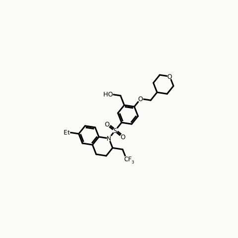 CCc1ccc2c(c1)CCC(CC(F)(F)F)N2S(=O)(=O)c1ccc(OCC2CCOCC2)c(CO)c1